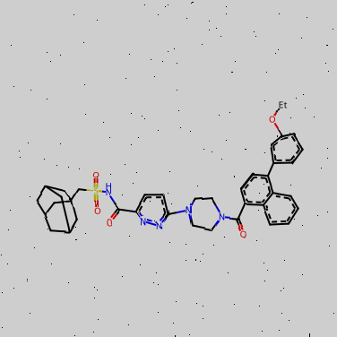 CCOc1cccc(-c2ccc(C(=O)N3CCN(c4ccc(C(=O)NS(=O)(=O)CC56CC7CC(CC(C7)C5)C6)nn4)CC3)c3ccccc23)c1